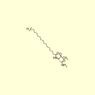 CCCCCCCCCCCCCCCC(=O)N[C@@H](CC(N)=O)C(C)=O